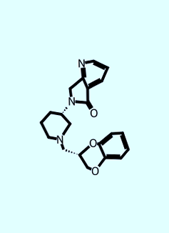 O=C1c2cccnc2CN1[C@H]1CCCN(C[C@H]2COc3ccccc3O2)C1